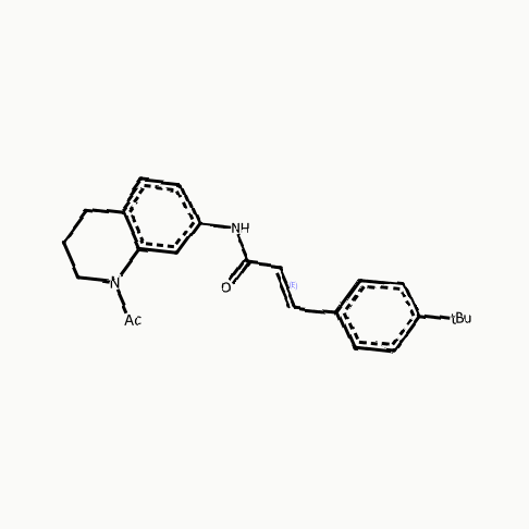 CC(=O)N1CCCc2ccc(NC(=O)/C=C/c3ccc(C(C)(C)C)cc3)cc21